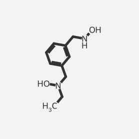 CCN(O)Cc1cccc(CNO)c1